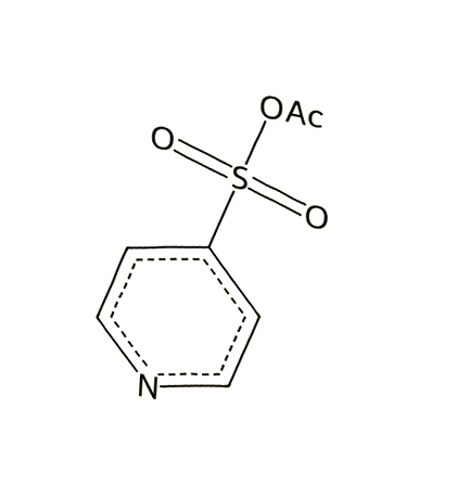 CC(=O)OS(=O)(=O)c1ccncc1